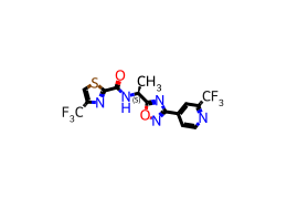 C[C@H](NC(=O)c1nc(C(F)(F)F)cs1)c1nc(-c2ccnc(C(F)(F)F)c2)no1